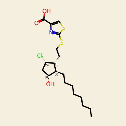 CCCCCCCC[C@@H]1[C@@H](CCSc2nc(C(=O)O)cs2)[C@@H](Cl)C[C@H]1O